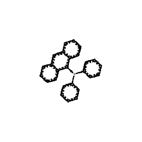 [c]1cccc2c(N(c3ccccc3)c3ccccc3)c3ccccc3cc12